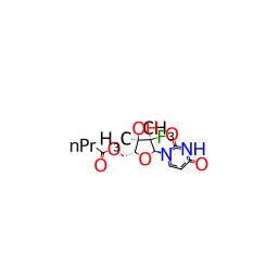 CCCC(=O)OC[C@H]1O[C@H](n2ccc(=O)[nH]c2=O)[C@](C)(F)[C@]1(C)O